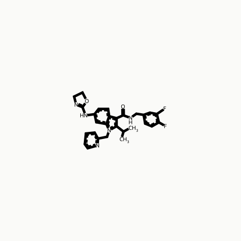 CC(C)c1c(C(=O)NCc2ccc(F)c(F)c2)c2ccc(NC3=NCCO3)cc2n1Cc1ccccn1